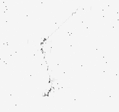 O=CNCC(=O)N[C@@H](CCC(=O)NCCCOCCOCCOCCCNC(=O)CC[C@H](NC(=O)CCCCCCCCCCCCCCCCCCC(=O)O)C(=O)O)C(=O)O